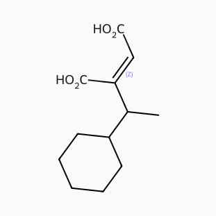 CC(/C(=C/C(=O)O)C(=O)O)C1CCCCC1